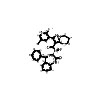 [2H]N(C(=O)c1c(-c2cc(C)cnc2F)nn2c1OCCC2)[C@H]1N=C(c2ccccc2)c2ccccc2NC1=O